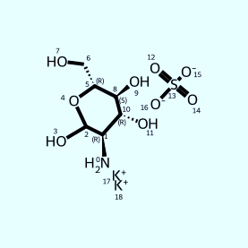 N[C@H]1C(O)O[C@H](CO)[C@@H](O)[C@@H]1O.O=S(=O)([O-])[O-].[K+].[K+]